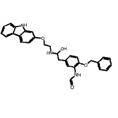 O=CNc1cc(CC(O)NCCOc2ccc3c(c2)[nH]c2ccccc23)ccc1OCc1ccccc1